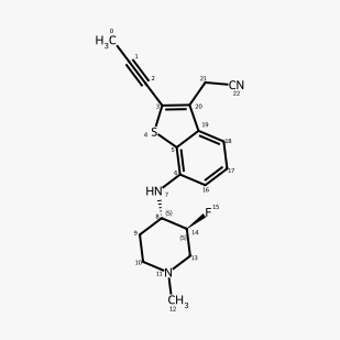 CC#Cc1sc2c(N[C@H]3CCN(C)C[C@@H]3F)cccc2c1CC#N